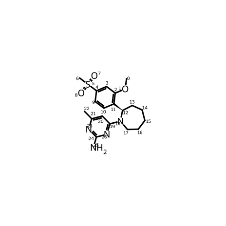 COc1cc(S(C)(=O)=O)ccc1[C@H]1CCCCCN1c1cc(C)nc(N)n1